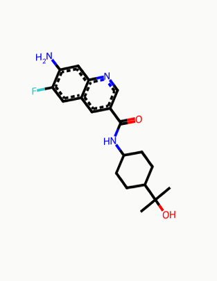 CC(C)(O)C1CCC(NC(=O)c2cnc3cc(N)c(F)cc3c2)CC1